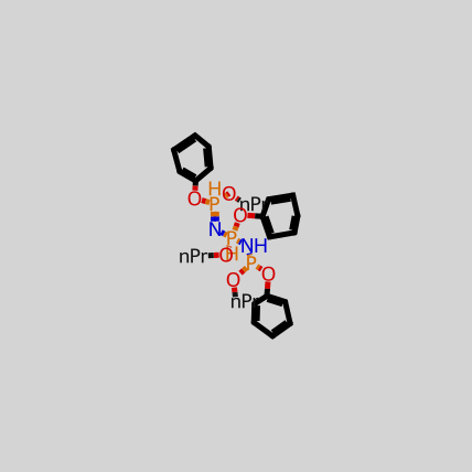 CCCOP(N[PH](N=[PH](OCCC)Oc1ccccc1)(OCCC)Oc1ccccc1)Oc1ccccc1